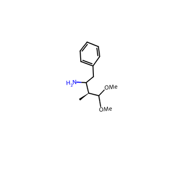 COC(OC)[C@@H](C)C(N)Cc1ccccc1